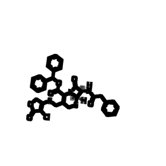 O=C(Cc1ccccc1)N[C@@H]1C(=O)N2C(C(=O)OC(c3ccccc3)c3ccccc3)=C(CSC3=C(Cl)C(=O)OC3)CS[C@H]12